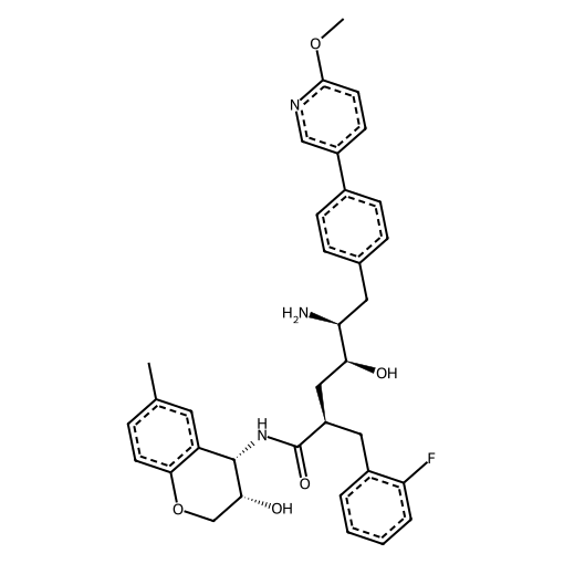 COc1ccc(-c2ccc(C[C@H](N)[C@@H](O)C[C@@H](Cc3ccccc3F)C(=O)N[C@H]3c4cc(C)ccc4OC[C@H]3O)cc2)cn1